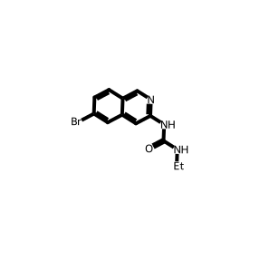 CCNC(=O)Nc1cc2cc(Br)ccc2cn1